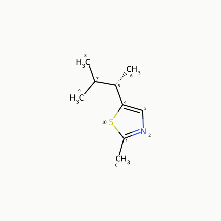 Cc1ncc([C@@H](C)C(C)C)s1